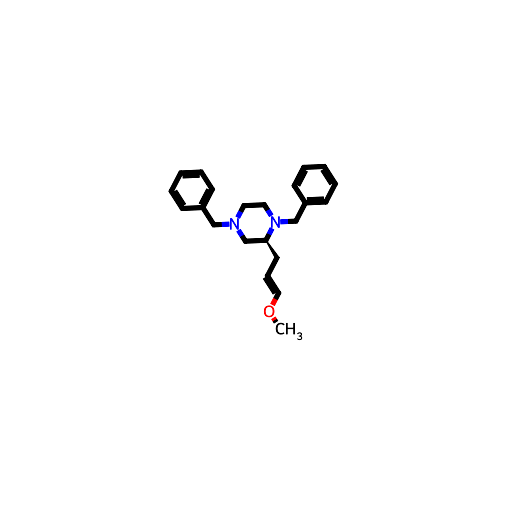 CO/C=C/C[C@H]1CN(Cc2ccccc2)CCN1Cc1ccccc1